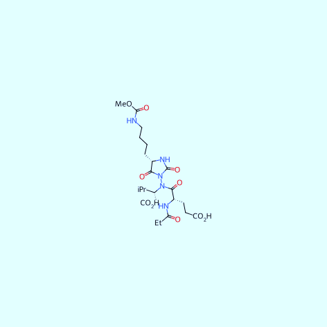 CCC(=O)N[C@@H](CCC(=O)O)C(=O)N([C@H](C(=O)O)C(C)C)N1C(=O)N[C@@H](CCCCNC(=O)OC)C1=O